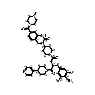 CN1CCN(C(=O)c2ccc3c(c2)NC(=O)N(C2CCN(C(=O)N[C@H](Cc4cc(Br)c(N)c(Br)c4)C(=O)N4CCC(c5ccncc5)CC4)CC2)C3)CC1